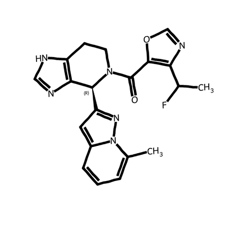 Cc1cccc2cc([C@H]3c4nc[nH]c4CCN3C(=O)c3ocnc3C(C)F)nn12